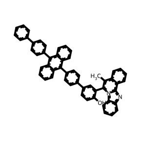 Cc1c(-c2cc(-c3ccc(-c4c5ccccc5c(-c5ccc(-c6ccccc6)cc5)c5ccccc45)cc3)ccc2O)n2c3ccccc3nc2c2ccccc12